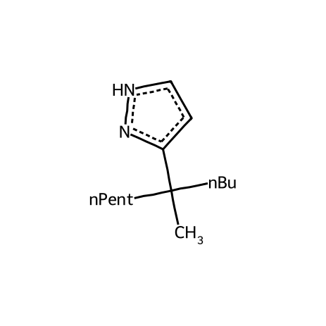 CCCCCC(C)(CCCC)c1cc[nH]n1